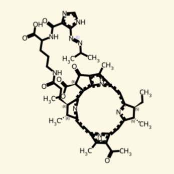 CC[C@@H]1c2cc3[nH]c4c(c3C)C(=O)[C@H](C(=O)OC)c4c3nc(cc4[nH]c(cc(n2)[C@H]1C)c(C(C)=O)c4C)[C@H](C)[C@H]3CCC(=O)NCCCC(NC(=O)c1nc[nH]c1/N=N/C(C)C)C(=O)O